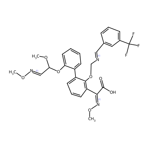 CO/N=C/C(OC)Oc1ccccc1-c1cccc(/C(=N\OC)C(=O)O)c1OC/N=C/c1cccc(C(F)(F)F)c1